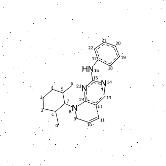 CC1CCCC(C)C1N1CC=Cc2cnc(Nc3ccccc3)nc21